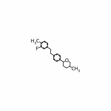 Cc1ccc(CCc2ccc(C3CCC(C)CO3)cc2)cc1F